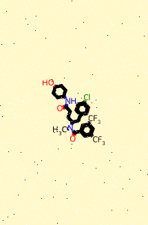 CN(C(=O)c1cc(C(F)(F)F)cc(C(F)(F)F)c1)C(CCC(=O)NC1CCC(O)CC1)Cc1ccc(Cl)cc1